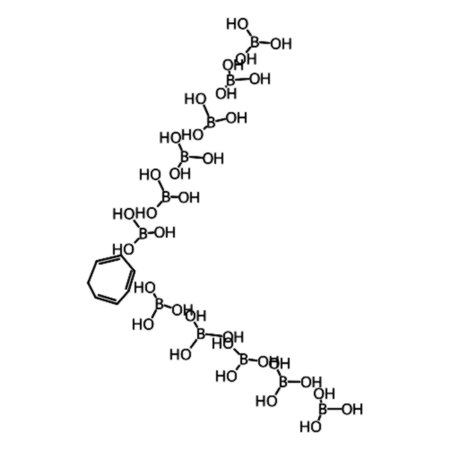 C1=CC=CCC=C1.OB(O)O.OB(O)O.OB(O)O.OB(O)O.OB(O)O.OB(O)O.OB(O)O.OB(O)O.OB(O)O.OB(O)O.OB(O)O